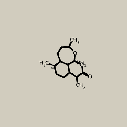 CC1CCC2C3C(CC[C@H]2C)C(C)C(=O)OC3(N)O1